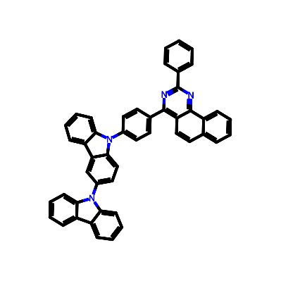 c1ccc(-c2nc(-c3ccc(-n4c5ccccc5c5cc(-n6c7ccccc7c7ccccc76)ccc54)cc3)c3ccc4ccccc4c3n2)cc1